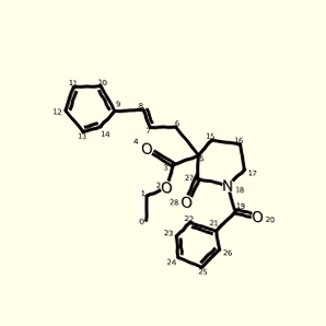 CCOC(=O)C1(CC=Cc2ccccc2)CCCN(C(=O)c2ccccc2)C1=O